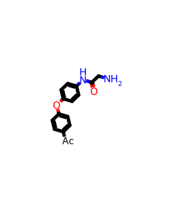 CC(=O)c1ccc(Oc2ccc(NC(=O)CN)cc2)cc1